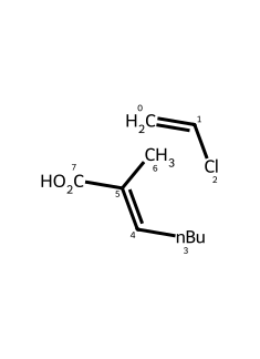 C=CCl.CCCCC=C(C)C(=O)O